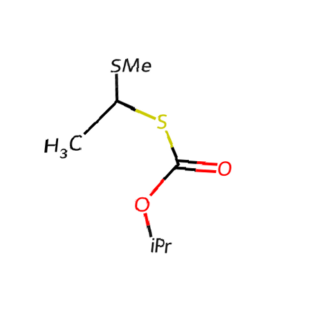 CSC(C)SC(=O)OC(C)C